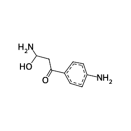 Nc1ccc(C(=O)CC(N)O)cc1